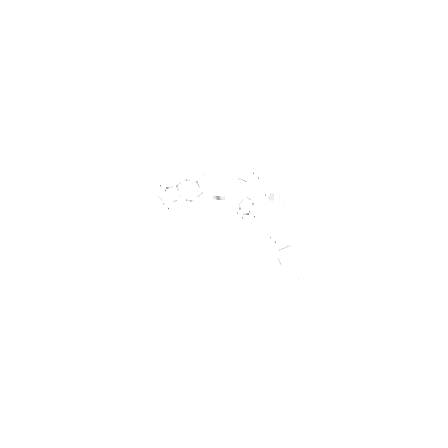 C=CC(=O)N1CC(n2nc(C#Cc3cc4ncn(CC)c4cc3Cl)c(C(N)=O)c2N)C1